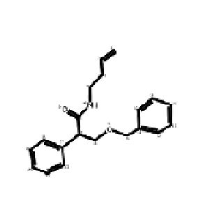 C=CCCNC(=O)C(COCc1ccccc1)c1ccccc1